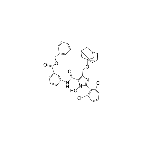 O=C(OCc1ccccc1)c1cccc(NC(=O)c2c(COC34CC5CC(CC(C5)C3)C4)nc(-c3c(Cl)cccc3Cl)n2O)c1